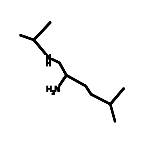 CC(C)CCC(N)CNC(C)C